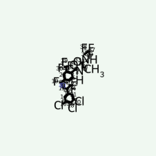 C[C@@H](NC(=O)c1ccc(/C(F)=C\C(c2cc(Cl)c(Cl)c(Cl)c2)C(F)(F)F)cc1C(F)(F)F)C(=O)NCC(F)(F)F